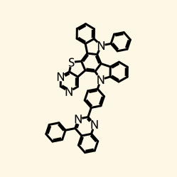 c1ccc(-c2nc(-c3ccc(-n4c5ccccc5c5c6c(c7ccccc7n6-c6ccccc6)c6sc7ncncc7c6c54)cc3)nc3ccccc23)cc1